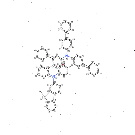 CC1(C)c2ccccc2-c2ccc(N(c3ccccc3)c3ccccc3-c3ccc(N(c4ccc(-c5ccccc5)cc4)c4ccc(-c5ccccc5)cc4)cc3-c3ccccc3)cc21